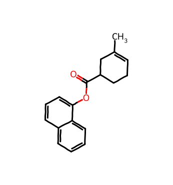 CC1=CCCC(C(=O)Oc2cccc3ccccc23)C1